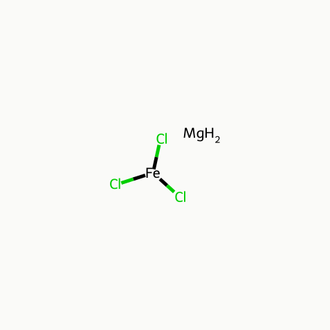 [Cl][Fe]([Cl])[Cl].[MgH2]